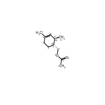 CC(=O)OC[C@@H]1CCC(C)=C[C@H]1C